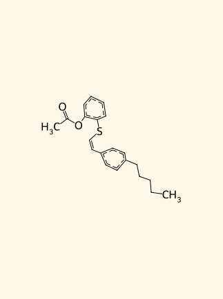 CCCCCc1ccc(/C=C\Sc2ccccc2OC(C)=O)cc1